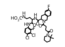 CC1(C)CCCCN1C(=O)CCC(=O)N1Cc2ccc(F)cc2CC1C(=O)NC(CCNC(=O)O)C(=O)Nc1ccc(Cl)c(Cl)c1F